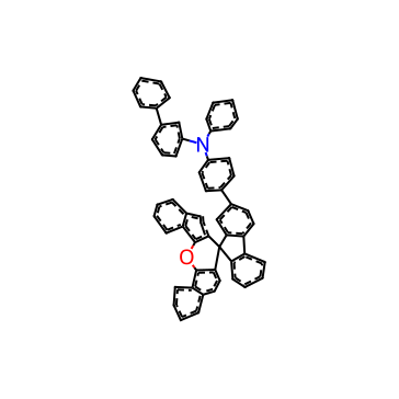 c1ccc(-c2cccc(N(c3ccccc3)c3ccc(-c4ccc5c(c4)C4(c6ccccc6-5)c5ccc6ccccc6c5Oc5c4ccc4ccccc54)cc3)c2)cc1